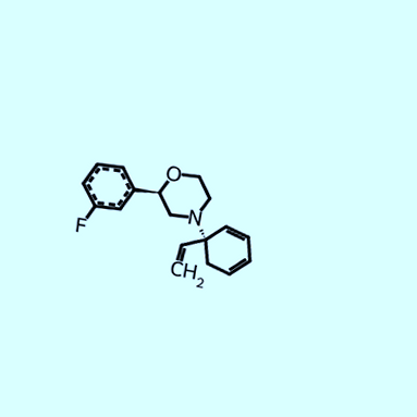 C=C[C@@]1(N2CCO[C@H](c3cccc(F)c3)C2)C=CC=CC1